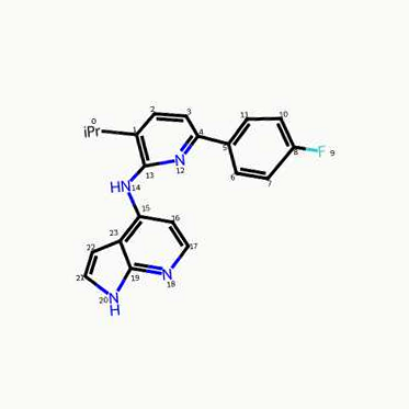 CC(C)c1ccc(-c2ccc(F)cc2)nc1Nc1ccnc2[nH]ccc12